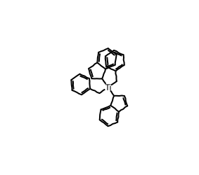 C1=C[CH]([Ti]([CH2]c2ccccc2)([CH2]c2ccccc2)[CH]2C=Cc3ccccc32)c2ccccc21